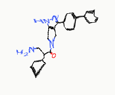 NCC(C(=O)N1Cc2[nH]nc(-c3ccc(-c4ccccc4)cc3)c2C1)c1ccccc1